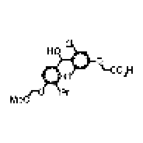 COCOc1ccc(C(O)c2c(Cl)cc(OCC(=O)O)cc2Cl)cc1C(C)C